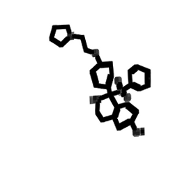 O=S(=O)(c1ccccc1)C1(c2ccc(OCCN3CCCC3)cc2)NCCc2cc(O)ccc21